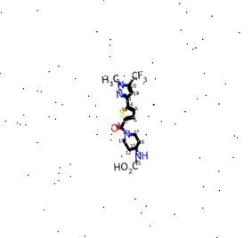 Cn1nc(-c2ccc(C(=O)N3CCC(NC(=O)O)CC3)s2)cc1C(F)(F)F